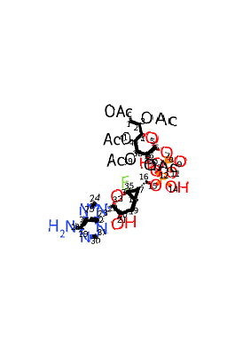 CC(=O)OC[C@@H](OC(C)=O)C1O[C@@H](OP(=O)(O)OP(=O)(O)OC[C@@H]2C3CC(O)[C@H](n4cnc5c(N)ncnc54)OC32F)C(OC(C)=O)C(OC(C)=O)[C@@H]1OC(C)=O